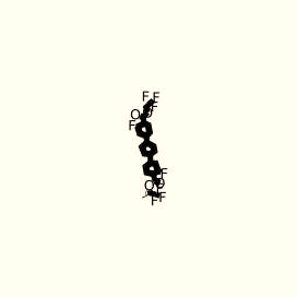 C[C@H](OC(=O)c1ccc(-c2ccc(-c3ccc(C(=O)OCC(F)(F)F)c(F)c3)cc2)cc1F)C(F)(F)F